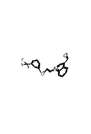 O=Cc1cn(CCOc2cccc(C(F)(F)F)c2)c2ccccc12